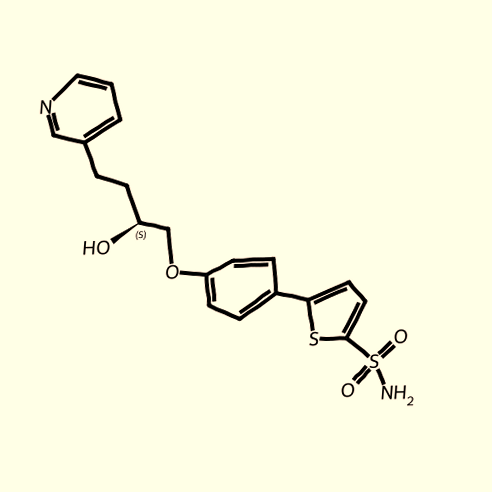 NS(=O)(=O)c1ccc(-c2ccc(OC[C@@H](O)CCc3cccnc3)cc2)s1